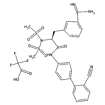 CS(=O)(=O)N([C@@H](Cc1cccc(C(=N)N)c1)C(=O)Nc1ccc(-c2ccccc2C#N)cc1)S(C)(=O)=O.O=C(O)C(F)(F)F